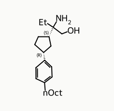 CCCCCCCCc1ccc([C@@H]2CC[C@H](C(N)(CC)CO)C2)cc1